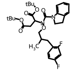 CC(CON(C(=O)N1CCc2ccccc21)C(CC(=O)OC(C)(C)C)C(=O)OC(C)(C)C)Cc1ccc(F)cc1F